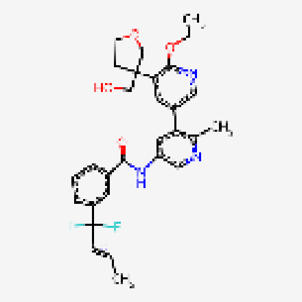 C/C=C/C(F)(F)c1cccc(C(=O)Nc2cnc(C)c(-c3cnc(OCC)c(C4(CO)CCOC4)c3)c2)c1